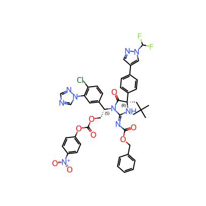 CC(C)(C)C[C@]1(c2ccc(-c3cnn(C(F)F)c3)cc2)NC(=NC(=O)OCc2ccccc2)N([C@H](COC(=O)Oc2ccc([N+](=O)[O-])cc2)c2ccc(Cl)c(-n3cncn3)c2)C1=O